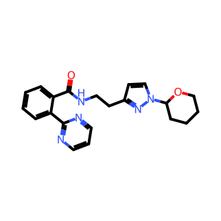 O=C(NCCc1ccn(C2CCCCO2)n1)c1ccccc1-c1ncccn1